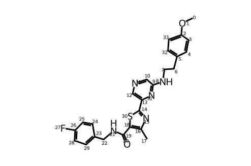 COc1ccc(CCNc2cncc(-c3nc(C)c(C(=O)NCc4ccc(F)cc4)s3)n2)cc1